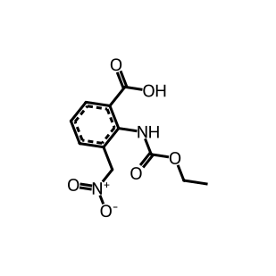 CCOC(=O)Nc1c(C[N+](=O)[O-])cccc1C(=O)O